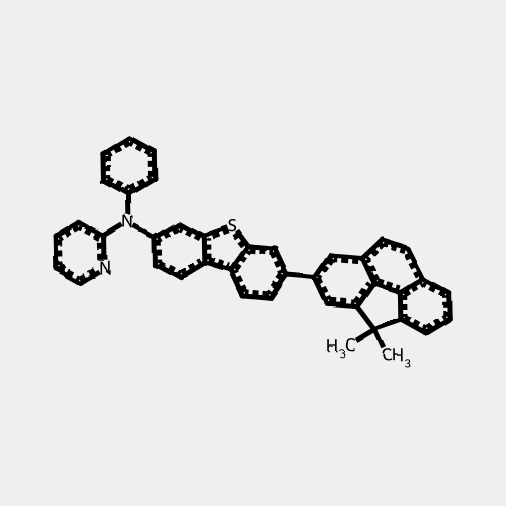 CC1(C)c2cccc3ccc4cc(-c5ccc6c(c5)sc5cc(N(c7ccccc7)c7ccccn7)ccc56)cc1c4c23